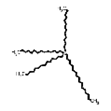 CCCCCCCCCCCCCCCCC[N+](CCCCCCCCCCCCCC)(CCCCCCCCCCCCCC)CCCCCCCCCCCCCC